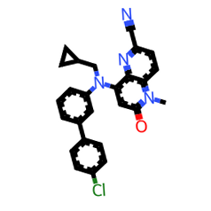 Cn1c(=O)cc(N(CC2CC2)c2cccc(-c3ccc(Cl)cc3)c2)c2nc(C#N)ccc21